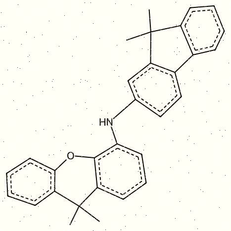 CC1(C)c2ccccc2-c2ccc(Nc3cccc4c3Oc3ccccc3C4(C)C)cc21